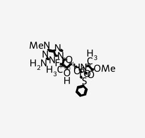 CNc1nc(N)nc2c1ncn2[C@@H]1O[C@H](COP(=O)(CSc2ccccc2)N[C@H](C)C(=O)OC)[C@@H](O)[C@@]1(C)F